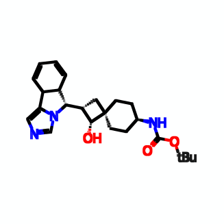 CC(C)(C)OC(=O)N[C@H]1CC[C@@]2(CC1)C[C@@H]([C@H]1C3C=CC=CC3c3cncn31)[C@H]2O